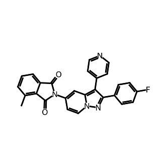 Cc1cccc2c1C(=O)N(c1ccn3nc(-c4ccc(F)cc4)c(-c4ccncc4)c3c1)C2=O